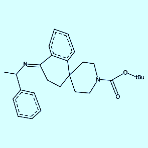 CC(N=C1CCC2(CCN(C(=O)OC(C)(C)C)CC2)c2ccccc21)c1ccccc1